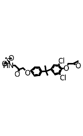 CC(C)(c1ccc(OCC(=O)CNS(C)(=O)=O)cc1)c1cc(Cl)c(OCC2CO2)c(Cl)c1